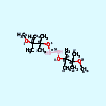 COC(C)(C)C(C)(C)OBBOC(C)(C)C(C)(C)OC